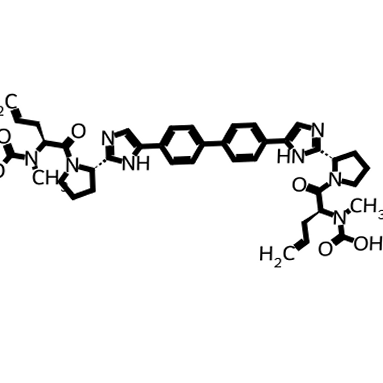 C=CC[C@@H](C(=O)N1CCC[C@H]1c1ncc(-c2ccc(-c3ccc(-c4cnc([C@@H]5CCCN5C(=O)[C@H](CC=C)N(C)C(=O)O)[nH]4)cc3)cc2)[nH]1)N(C)C(=O)O